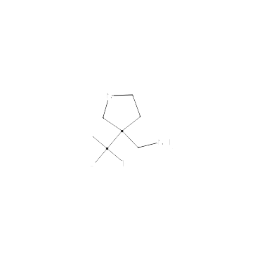 NCC1(C(F)(F)F)CC[N]C1